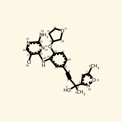 Cc1cc(C(C)(O)C#Cc2ccc(OC3CCOC3)c(Nc3nc(N)ncc3Cl)c2)no1